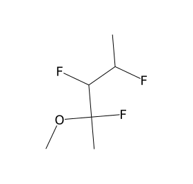 COC(C)(F)C(F)C(C)F